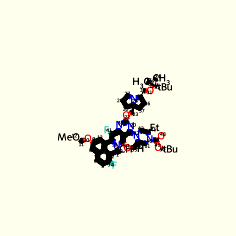 C#Cc1c(F)ccc2cc(OCOC)cc(-c3nc4c5c(nc(OC[C@@]67CCCN6[C@H](CO[Si](C)(C)C(C)(C)C)CC7)nc5c3F)N3C[C@@H](CC)N(C(=O)OC(C)(C)C)C[C@H]3CO4)c12